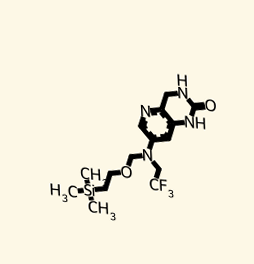 C[Si](C)(C)CCOCN(CC(F)(F)F)c1cnc2c(c1)NC(=O)NC2